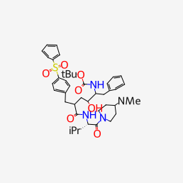 CNC1CCN(C(=O)[C@@H](NC(=O)C(Cc2ccc(S(=O)(=O)c3ccccc3)cc2)CC(O)C(Cc2ccccc2)NC(=O)OC(C)(C)C)C(C)C)CC1